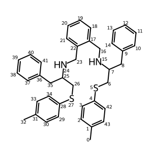 Cc1ccc(SCC(Cc2ccccc2)NCc2ccccc2CNC(CSc2ccc(C)cc2)Cc2ccccc2)cc1